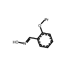 CC(C)Oc1ccccc1C=NO